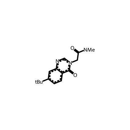 CNC(=O)Cn1cnc2cc(C(C)(C)C)ccc2c1=O